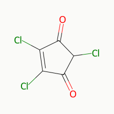 O=C1C(Cl)=C(Cl)C(=O)C1Cl